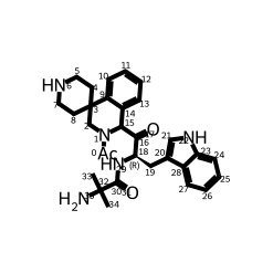 CC(=O)N1CC2(CCNCC2)c2ccccc2C1C(=O)[C@@H](Cc1c[nH]c2ccccc12)NC(=O)C(C)(C)N